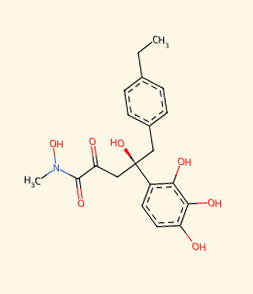 CCc1ccc(C[C@@](O)(CC(=O)C(=O)N(C)O)c2ccc(O)c(O)c2O)cc1